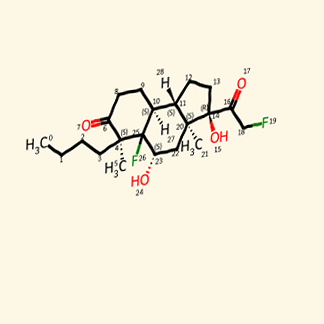 CCCC[C@@]1(C)C(=O)CC[C@H]2[C@@H]3CC[C@](O)(C(=O)CF)[C@@]3(C)C[C@H](O)C21F